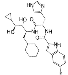 O=C(N[C@@H](Cc1c[nH]cn1)C(=O)N[C@@H](CC1CCCCC1)[C@@H](O)[C@@H](O)C1CC1)c1cc2cc(F)ccc2[nH]1